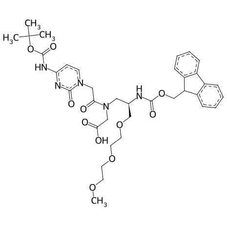 COCCOCCOC[C@@H](CN(CC(=O)O)C(=O)Cn1ccc(NC(=O)OC(C)(C)C)nc1=O)NC(=O)OCC1c2ccccc2-c2ccccc21